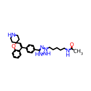 CC(=O)NCCCCCN1N=C(c2ccc(C3=CC4(CCNCC4)Oc4ccccc43)cc2)NN1